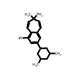 CC1CC(C)CC(c2cc3c(c(C(C)C)c2)C=CC(C)(P)C=C3)C1